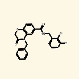 O=C(NCc1cccc(Cl)c1Cl)c1ccc2c(c1)N(Cc1ccccc1)C(=O)CS2